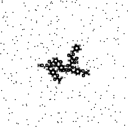 CN(C)C(=O)Oc1ccc(C[C@H](NC(=O)C2CN(C(=O)OCc3ccccc3)C(=O)N2)C(=O)O)cc1.CN(C)C(=O)Oc1ccc(C[C@H](NC(=O)[C@@H]2CCC(=O)N2Cc2ccc(C#N)cc2)C(=O)O)cc1